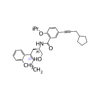 C=C/C=C(/C[C@H](CO)NC(=O)c1cc(C#CCC2CCCC2)ccc1OC(C)C)c1ccccc1C